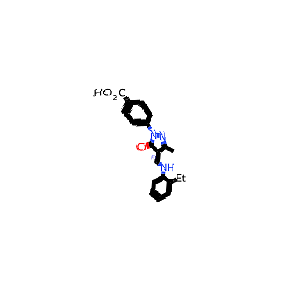 CCc1ccccc1N/C=C1/C(=O)N(c2ccc(C(=O)O)cc2)N=C1C